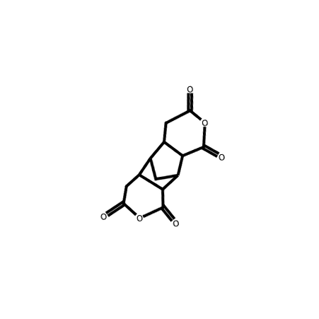 O=C1CC2C3CC(C2C(=O)O1)C1C(=O)OC(=O)CC31